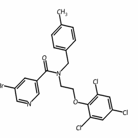 Cc1ccc(CN(CCOc2c(Cl)cc(Cl)cc2Cl)C(=O)c2cncc(Br)c2)cc1